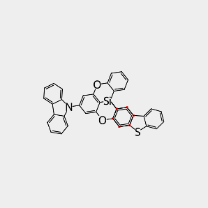 c1ccc2c(c1)Oc1cc(-n3c4ccccc4c4ccccc43)cc3c1[Si]2(c1ccc2sc4ccccc4c2c1)c1ccccc1O3